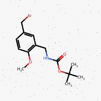 COc1ccc(CBr)cc1CNC(=O)OC(C)(C)C